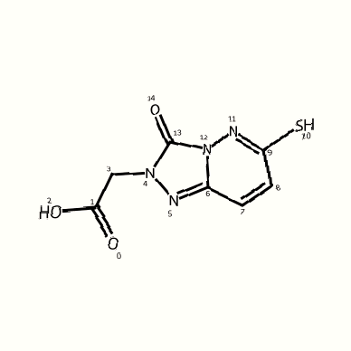 O=C(O)Cn1nc2ccc(S)nn2c1=O